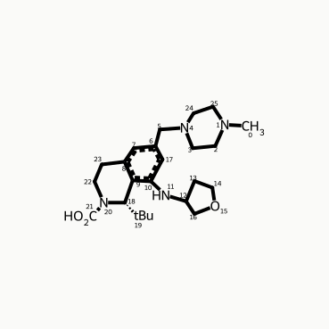 CN1CCN(Cc2cc3c(c(NC4CCOC4)c2)[C@H](C(C)(C)C)N(C(=O)O)CC3)CC1